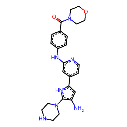 Nc1cc(-c2ccnc(Nc3ccc(C(=O)N4CCOCC4)cc3)c2)[nH]c1N1CCNCC1